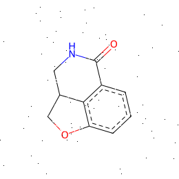 O=C1NCC2COc3cccc1c32